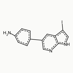 Nc1ccc(-c2cnc3[nH]cc(I)c3c2)cc1